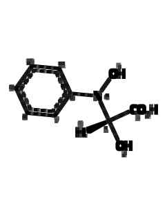 CC[C@](O)(C(=O)O)N(O)c1ccccc1